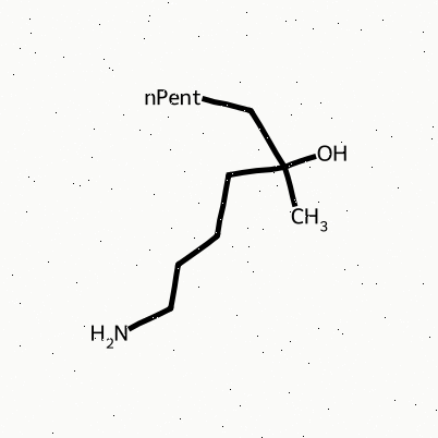 CCCCCCC(C)(O)CCCCN